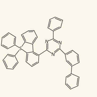 c1ccc(-c2cccc(-c3nc(-c4ccccc4)nc(-c4cccc5c4-c4ccccc4S5(c4ccccc4)c4ccccc4)n3)c2)cc1